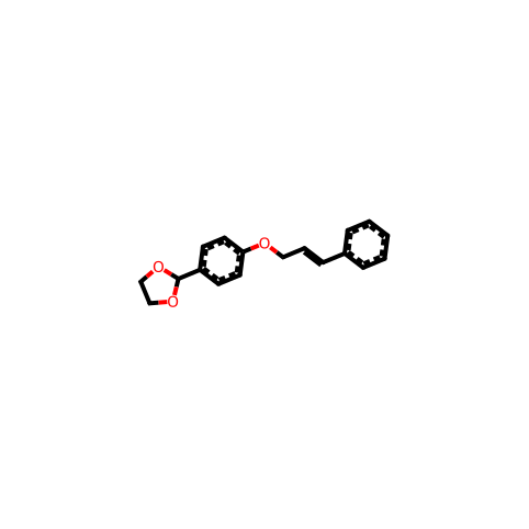 C(=Cc1ccccc1)COc1ccc(C2OCCO2)cc1